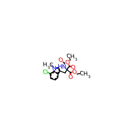 CCOC(=O)C(Cc1cn(C)c2c(Cl)cccc12)(NC=O)C(=O)OCC